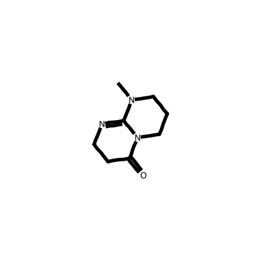 CN1CCCN2C(=O)CCN=C12